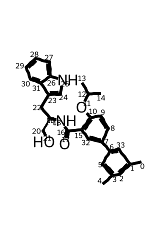 Cc1cc(C)cc(-c2ccc(OC(C)C)c(C(=O)N[C@@H](CO)Cc3c[nH]c4ccccc34)c2)c1